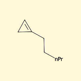 CCCCCC1=CC1